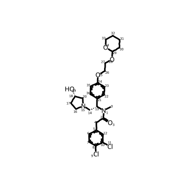 CN(C(=O)Cc1ccc(Cl)c(Cl)c1)[C@H](CN1CC[C@H](O)C1)c1ccc(OCCOC2CCCCO2)cc1